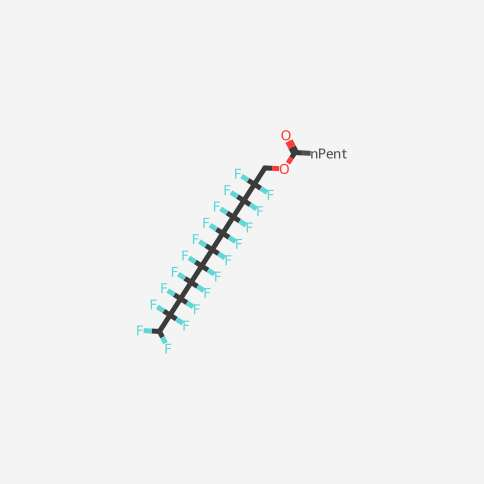 CCCCCC(=O)OCC(F)(F)C(F)(F)C(F)(F)C(F)(F)C(F)(F)C(F)(F)C(F)(F)C(F)(F)C(F)(F)C(F)F